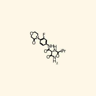 CC(C)C(=O)N[C@@H](C(N)=O)C(=O)Nc1ccc(N2CCOCC2=O)c(F)c1